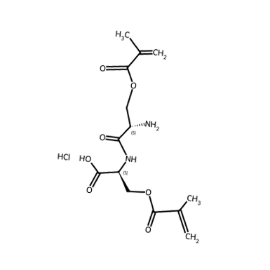 C=C(C)C(=O)OC[C@H](NC(=O)[C@@H](N)COC(=O)C(=C)C)C(=O)O.Cl